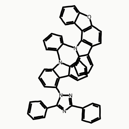 c1ccc(-c2nc(-c3ccccc3)n(-c3cccc4c3c3ccccc3n4-c3ccccc3-n3c4ccccc4c4ccc5oc6ccccc6c5c43)n2)cc1